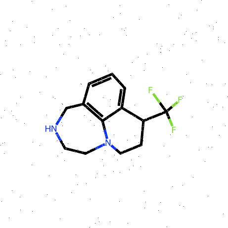 FC(F)(F)C1CCN2CCNCc3cccc1c32